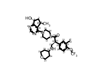 C[C@@H]1C[C@@H](O)c2ncnc(N3CCN(C(=O)[C@H](CNC4CCOCC4)c4ccc(OC(F)(F)F)c(F)c4)CC3)c21